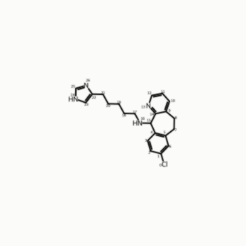 Clc1ccc2c(c1)CCc1cccnc1C2NCCCCCc1c[nH]cn1